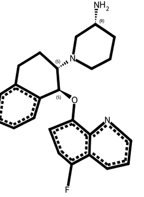 N[C@@H]1CCCN([C@H]2CCc3ccccc3[C@@H]2Oc2ccc(F)c3cccnc23)C1